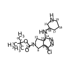 CC(C)(C)OC(=O)N1Cc2c(Cl)nnc(N[C@@H]3CCCNC3)c2C1